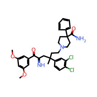 COc1cc(OC)cc(C(=O)C(=N)CC(C)(CCN2CCC(C(N)=O)(c3ccccc3)CC2)c2ccc(Cl)c(Cl)c2)c1